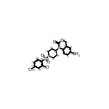 Bc1ccc2c(c1)COC(=O)N2C1CCN(S(=O)(=O)c2ccc(Cl)cc2Cl)CC1